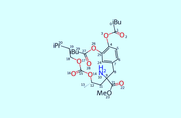 CCC(C)C(=O)Oc1ccc(CC(N)(C[C@H](C)OC(=O)OCCC(C)C)C(=O)OC)cc1OC(=O)C(C)CC